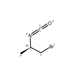 C[C@H](CBr)N=C=O